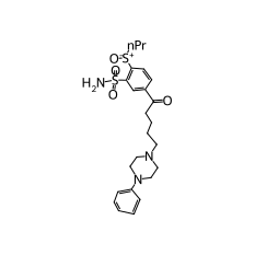 CCC[S+]([O-])c1ccc(C(=O)CCCCN2CCN(c3ccccc3)CC2)cc1S(N)(=O)=O